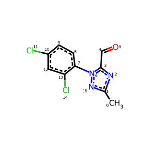 Cc1nc(C=O)n(-c2ccc(Cl)cc2Cl)n1